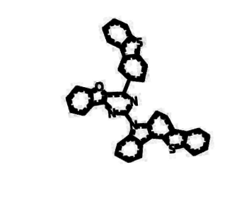 c1ccc2c(c1)oc1c(-c3ccc4sc5ccccc5c4c3)nc(-n3c4ccccc4c4c5sc6ccccc6c5ccc43)nc12